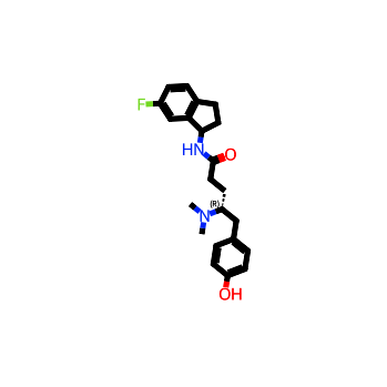 CN(C)[C@H](CCC(=O)NC1CCc2ccc(F)cc21)Cc1ccc(O)cc1